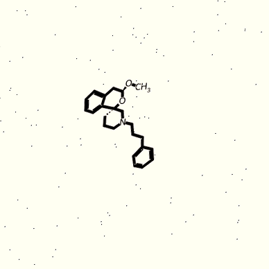 CO[C@@H]1Cc2ccccc2[C@@]2(CCCN(CCCc3ccccc3)C2)O1